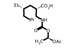 CC[C@@H](CC(C)C)C[C@@H](CNC(=O)O[C@H](C)OC(C)=O)C(=O)O